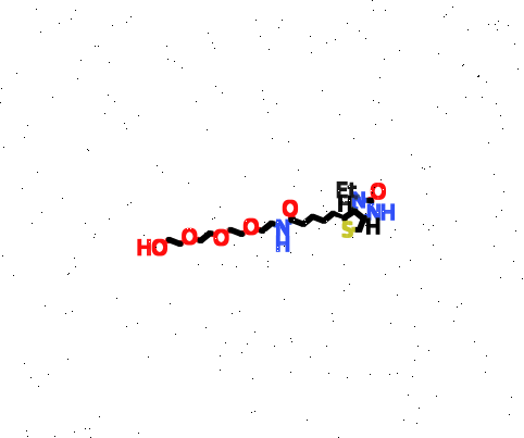 CCN1C(=O)N[C@H]2CS[C@@H](CCCCC(=O)NCCOCCOCCOCCO)[C@H]21